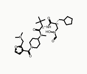 CN(C)Cc1occc1C(=O)N1CCC(N(C)C(=O)[C@@H](NC(=O)[C@H](CC2CCCC2)CN(O)C=O)C(C)(C)C)CC1